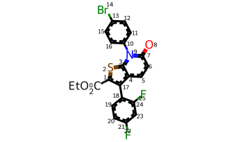 CCOC(=O)c1sc2c(ccc(=O)n2-c2ccc(Br)cc2)c1-c1ccc(F)cc1F